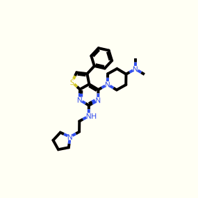 CN(C)C1CCN(c2nc(NCCN3CCCC3)nc3scc(-c4ccccc4)c23)CC1